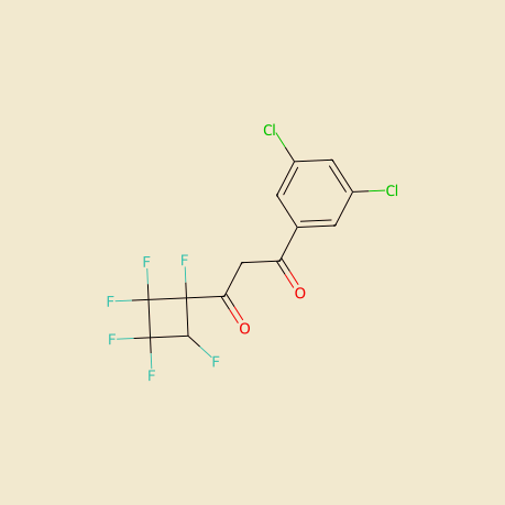 O=C(CC(=O)C1(F)C(F)C(F)(F)C1(F)F)c1cc(Cl)cc(Cl)c1